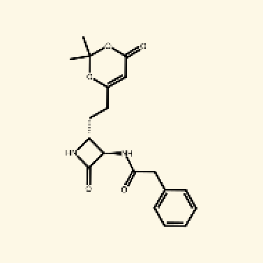 CC1(C)OC(=O)C=C(CC[C@H]2NC(=O)[C@@H]2NC(=O)Cc2ccccc2)O1